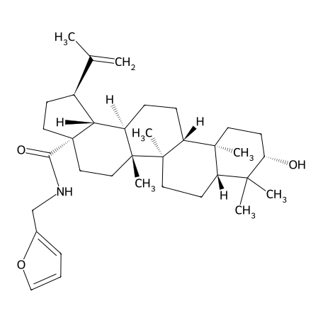 C=C(C)[C@@H]1CC[C@]2(C(=O)NCc3ccco3)CC[C@]3(C)[C@H](CC[C@@H]4[C@@]5(C)CC[C@H](O)C(C)(C)[C@@H]5CC[C@]43C)[C@@H]12